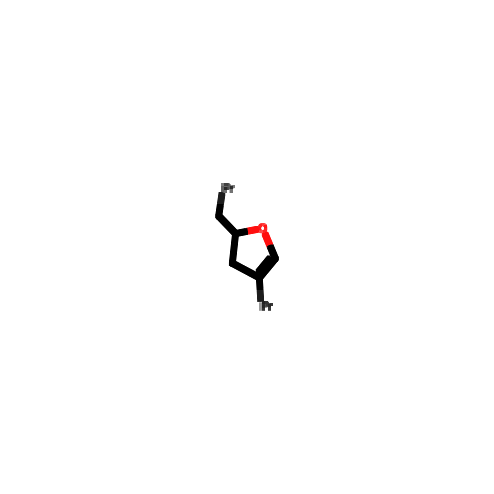 CC(C)CC1CC(C(C)C)=CO1